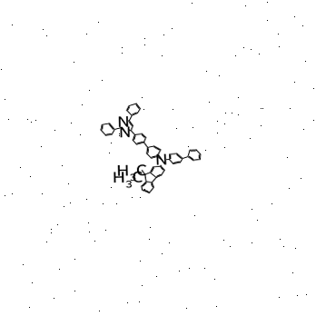 CC1(C)c2ccccc2-c2ccc(N(c3ccc(-c4ccccc4)cc3)c3ccc(-c4ccc(-c5cc(-c6ccccc6)nc(-c6ccccc6)n5)cc4)cc3)cc21